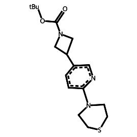 CC(C)(C)OC(=O)N1CC(c2ccc(N3CCSCC3)nc2)C1